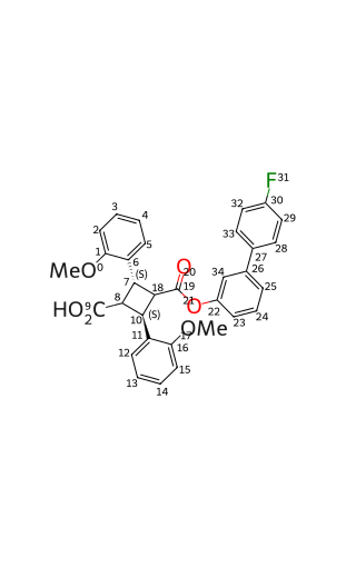 COc1ccccc1[C@H]1C(C(=O)O)[C@H](c2ccccc2OC)C1C(=O)Oc1cccc(-c2ccc(F)cc2)c1